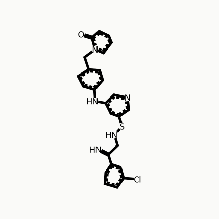 N=C(CNSc1cncc(Nc2ccc(Cn3ccccc3=O)cc2)c1)c1cccc(Cl)c1